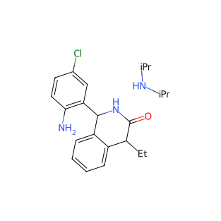 CC(C)NC(C)C.CCC1C(=O)NC(c2cc(Cl)ccc2N)c2ccccc21